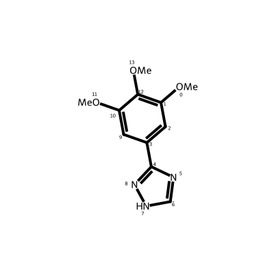 COc1cc(-c2n[c][nH]n2)cc(OC)c1OC